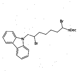 CCCCCCCCCCC(Br)CCCCC(Br)Cn1c2ccccc2c2ccccc21